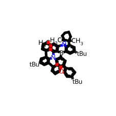 Cc1cc2c3c(c1)N1c4c(cc(C(C)(C)C)cc4C4(C)CCCCC14C)B3c1cc3c(cc1N2c1c(-c2ccccc2)cc(C(C)(C)C)cc1-c1ccccc1)oc1cc(C(C)(C)C)ccc13